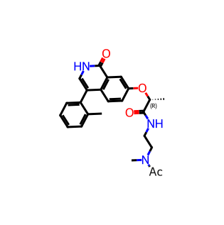 CC(=O)N(C)CCNC(=O)[C@@H](C)Oc1ccc2c(-c3ccccc3C)c[nH]c(=O)c2c1